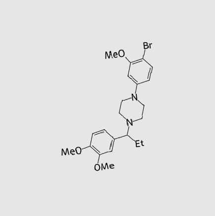 CCC(c1ccc(OC)c(OC)c1)N1CCN(c2ccc(Br)c(OC)c2)CC1